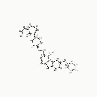 O=c1c2c3c(sc2ncn1CCN1CCN(c2cccc4ccccc24)CC1)CCN(Cc1ccccc1)C3